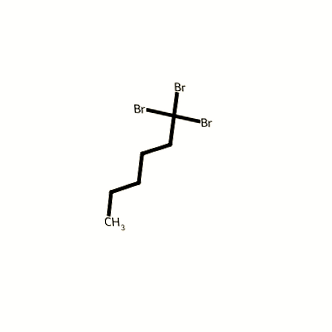 CCCCCC(Br)(Br)Br